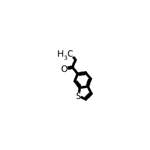 CCC(=O)c1ccc2ccsc2c1